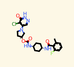 Cc1cccc(F)c1C(=O)N[C@H]1CC[C@H](NC(=O)O[C@@H]2CCN(c3cn[nH]c(=O)c3Cl)C2)CC1